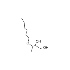 CCCCCCOC(C)C(O)CO